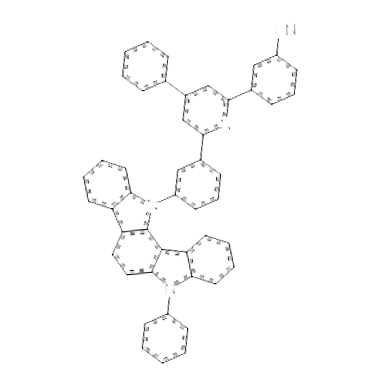 N#Cc1cccc(-c2cc(-c3ccccc3)cc(-c3cccc(-n4c5ccccc5c5ccc6c(c7ccccc7n6-c6ccccc6)c54)c3)n2)c1